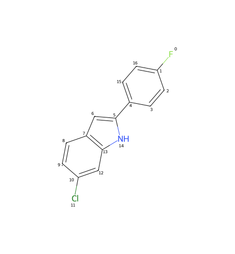 Fc1ccc(-c2cc3c[c]c(Cl)cc3[nH]2)cc1